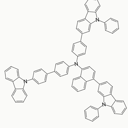 c1ccc(-n2c3ccccc3c3ccc(-c4ccc(N(c5ccc(-c6ccc(-n7c8ccccc8c8ccccc87)cc6)cc5)c5ccc(-c6ccc7c8ccccc8n(-c8ccccc8)c7c6)c6ccccc56)cc4)cc32)cc1